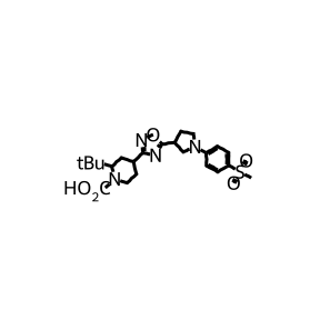 CC(C)(C)C1CC(c2noc(C3CCN(c4ccc(S(C)(=O)=O)cc4)C3)n2)CCN1C(=O)O